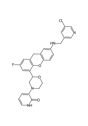 O=c1[nH]cccc1N1CCOC(c2cc(F)cc3c2Oc2ccc(NCc4cncc(Cl)c4)cc2C3)C1